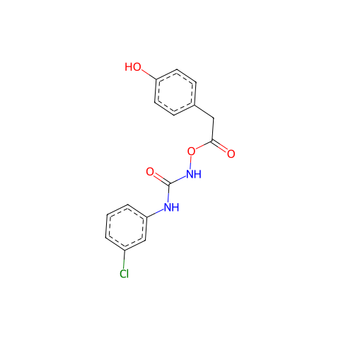 O=C(NOC(=O)Cc1ccc(O)cc1)Nc1cccc(Cl)c1